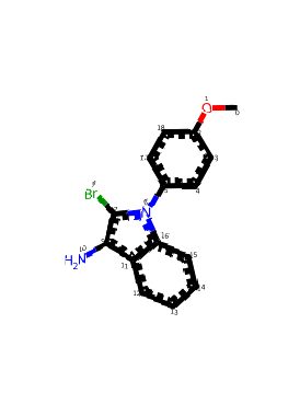 COc1ccc(-n2c(Br)c(N)c3ccccc32)cc1